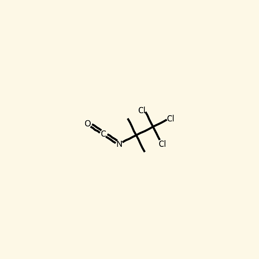 CC(C)(N=C=O)C(Cl)(Cl)Cl